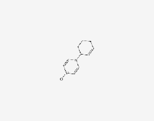 [O-][S+]1C=CN(C2C=CCCC2)C=C1